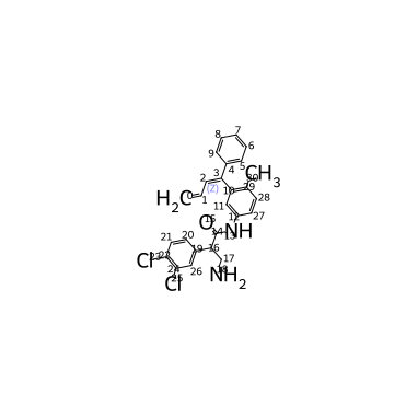 C=C/C=C(/c1ccccc1)c1cc(NC(=O)C(CN)c2ccc(Cl)c(Cl)c2)ccc1C